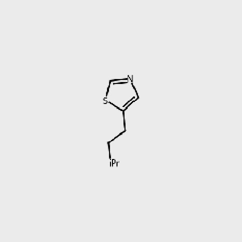 CC(C)CCc1cncs1